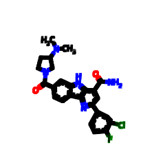 CN(C)C1CCN(C(=O)c2ccc3c(c2)[nH]c2c(C(N)=O)cc(-c4ccc(F)c(Cl)c4)nc23)C1